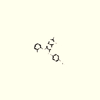 Cn1c(C(F)(F)F)nc2nc(Nc3ccccc3F)c(Nc3ccc(OC(F)(F)F)cc3)nc21